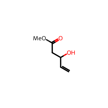 C=CC(O)CC(=O)OC